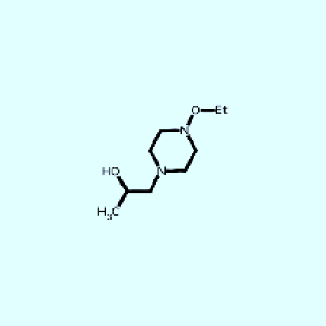 CCON1CCN(CC(C)O)CC1